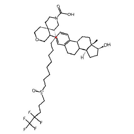 C[C@]12CCC3c4ccc(C5COCCC56CCN(C(=O)O)C[C@@H]6CCCCCCCCC[S+]([O-])CCCC(F)(F)C(F)(F)F)cc4CCC3[C@@H]1CC[C@@H]2O